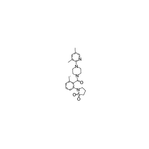 [CH2]c1cccc(N2CCCS2(=O)=O)c1C(=O)N1CCN(c2ncc(C)cc2C)CC1